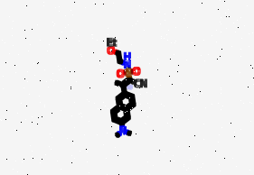 CCOCCNS(=O)(=O)/C(C#N)=C(\C)c1ccc2cc(N(C)C)ccc2c1